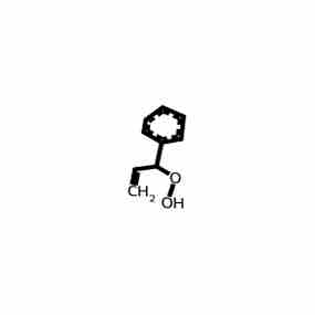 C=CC(OO)c1ccccc1